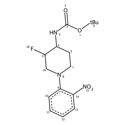 CC(C)(C)OC(=O)NC1CCN(c2ccccc2[N+](=O)[O-])CC1F